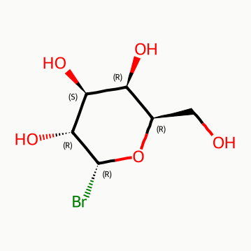 OC[C@H]1O[C@H](Br)[C@H](O)[C@@H](O)[C@H]1O